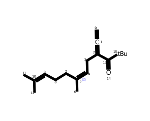 C=C=C(C/C=C(/C)CCC=C(C)C)C(=O)C(C)(C)C